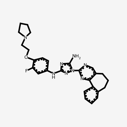 Nc1nc(Nc2ccc(OCCN3CCCC3)c(F)c2)nn1-c1ncc2c(n1)-c1ccccc1CCC2